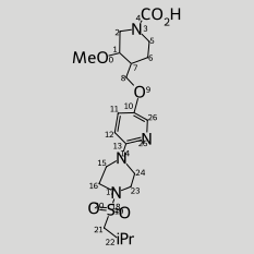 COC1CN(C(=O)O)CCC1COc1ccc(N2CCN(S(=O)(=O)CC(C)C)CC2)nc1